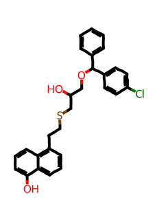 Oc1cccc2c(CCSCC(O)COC(c3ccccc3)c3ccc(Cl)cc3)cccc12